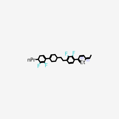 C=C(/C=C\C(=C/C)CC)c1ccc(CCC2CC=C(C3=CCC(CCC)C(F)=C3F)CC2)c(F)c1F